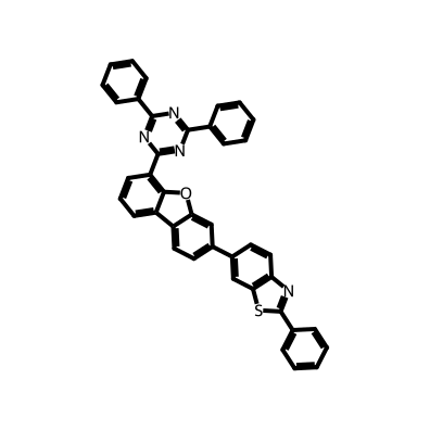 c1ccc(-c2nc(-c3ccccc3)nc(-c3cccc4c3oc3cc(-c5ccc6nc(-c7ccccc7)sc6c5)ccc34)n2)cc1